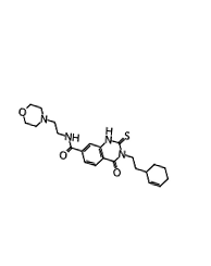 O=C(NCCN1CCOCC1)c1ccc2c(=O)n(CCC3C=CCCC3)c(=S)[nH]c2c1